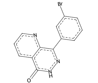 O=c1[nH]nc(-c2cccc(Br)c2)c2ncccc12